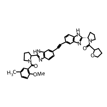 COc1ccc(C)cc1C(=O)N1CCCC1c1nc2ccc(C#Cc3ccc4[nH]c([C@@H]5CCCN5C(=O)C5CCCO5)nc4c3)cc2[nH]1